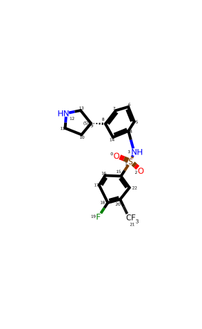 O=S(=O)(Nc1cccc([C@@H]2CCNC2)c1)c1ccc(F)c(C(F)(F)F)c1